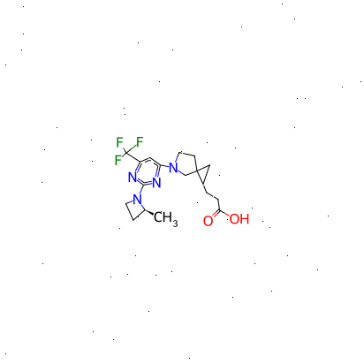 C[C@H]1CCN1c1nc(N2CCC3(CC3CCC(=O)O)C2)cc(C(F)(F)F)n1